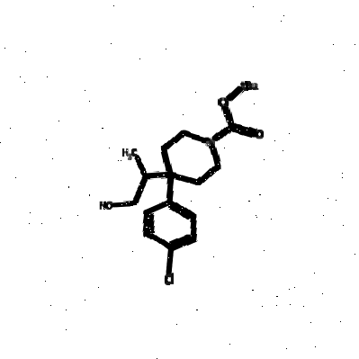 CC(CO)C1(c2ccc(Cl)cc2)CCN(C(=O)OC(C)(C)C)CC1